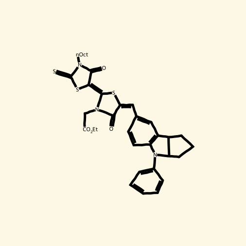 CCCCCCCCN1C(=O)/C(=c2\s/c(=C/c3ccc4c(c3)C3CCCC3N4c3ccccc3)c(=O)n2CC(=O)OCC)SC1=S